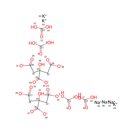 O=C(O)O.O=C(O)O.O=C(O)O.O=C(O)O.O=C([O-])CC(O)(CC(=O)[O-])C(=O)[O-].O=C([O-])CC(O)(CC(=O)[O-])C(=O)[O-].[K+].[K+].[K+].[Na+].[Na+].[Na+]